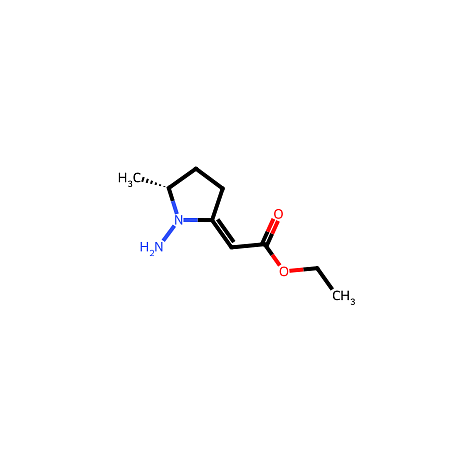 CCOC(=O)/C=C1\CC[C@@H](C)N1N